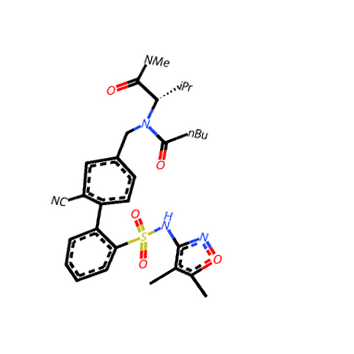 CCCCC(=O)N(Cc1ccc(-c2ccccc2S(=O)(=O)Nc2noc(C)c2C)c(C#N)c1)[C@H](C(=O)NC)C(C)C